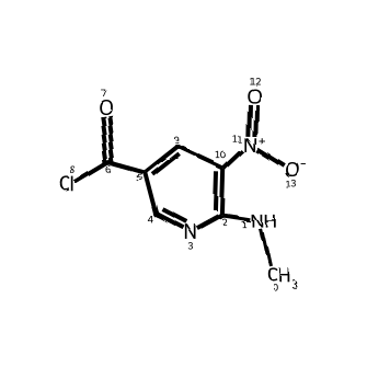 CNc1ncc(C(=O)Cl)cc1[N+](=O)[O-]